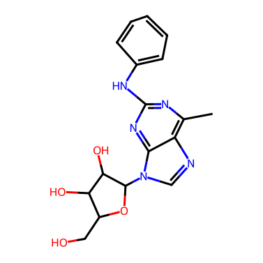 Cc1nc(Nc2ccccc2)nc2c1ncn2C1OC(CO)C(O)C1O